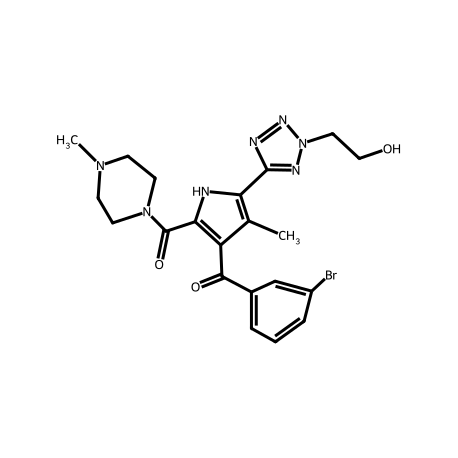 Cc1c(-c2nnn(CCO)n2)[nH]c(C(=O)N2CCN(C)CC2)c1C(=O)c1cccc(Br)c1